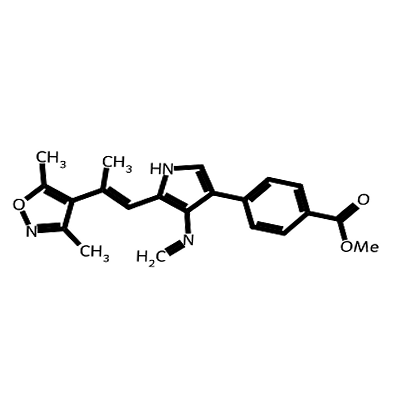 C=Nc1c(-c2ccc(C(=O)OC)cc2)c[nH]c1/C=C(\C)c1c(C)noc1C